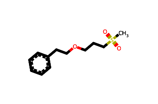 CS(=O)(=O)CCCOCCc1ccccc1